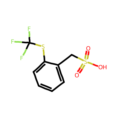 O=S(=O)(O)Cc1ccccc1SC(F)(F)F